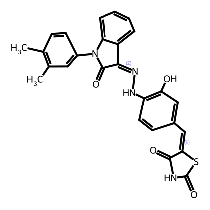 Cc1ccc(N2C(=O)/C(=N\Nc3ccc(/C=C4/SC(=O)NC4=O)cc3O)c3ccccc32)cc1C